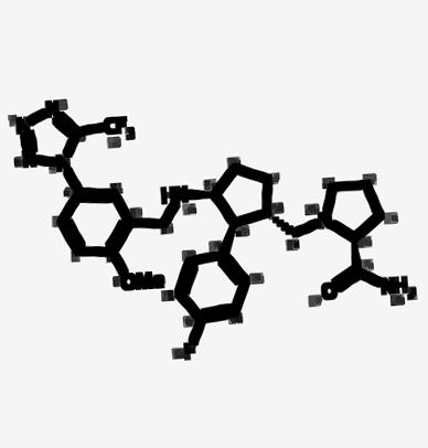 COc1ccc(-n2nnnc2C(F)(F)F)cc1CN[C@H]1CC[C@H](CN2CCC[C@H]2C(N)=O)[C@H]1c1ccc(F)cc1